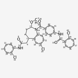 COC1CCC(CC(=O)Nc2ccccc2Cl)c2cc(Cl)ccc2N1C(=O)c1ccc(NC(=O)c2ccccc2Cl)cc1